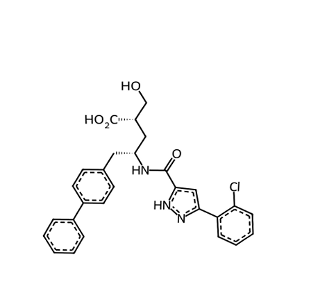 O=C(N[C@H](Cc1ccc(-c2ccccc2)cc1)C[C@@H](CO)C(=O)O)c1cc(-c2ccccc2Cl)n[nH]1